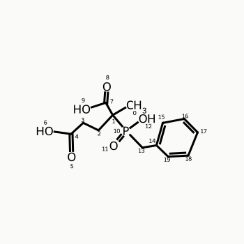 CC(CCC(=O)O)(C(=O)O)P(=O)(O)Cc1ccccc1